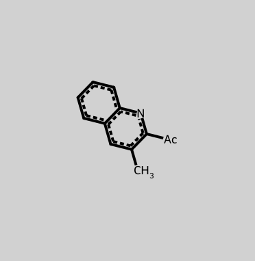 CC(=O)c1nc2ccccc2cc1C